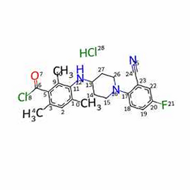 Cc1cc(C)c(C(=O)Cl)c(C)c1NC1CCN(c2ccc(F)cc2C#N)CC1.Cl